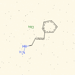 Cl.NNC/C=C/c1ccccc1